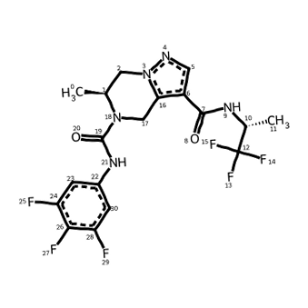 C[C@H]1Cn2ncc(C(=O)N[C@H](C)C(F)(F)F)c2CN1C(=O)Nc1cc(F)c(F)c(F)c1